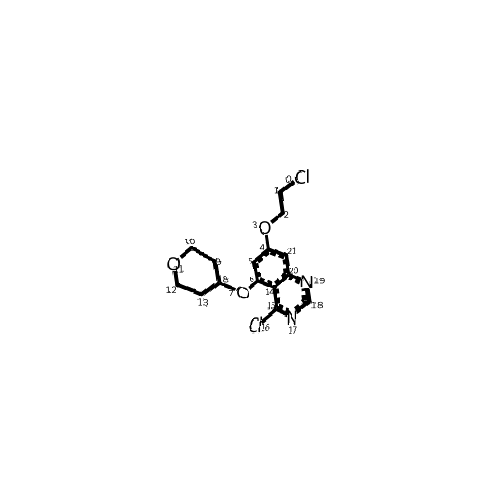 ClCCOc1cc(OC2CCOCC2)c2c(Cl)ncnc2c1